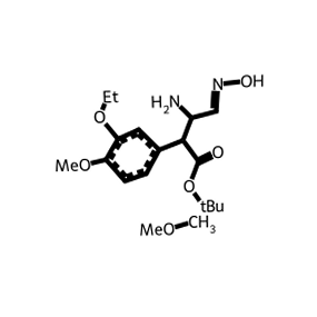 CCOc1cc(C(C(=O)OC(C)(C)C)C(N)C=NO)ccc1OC.COC